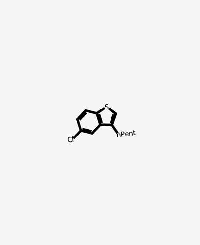 [CH2]CCCCc1csc2ccc(Cl)cc12